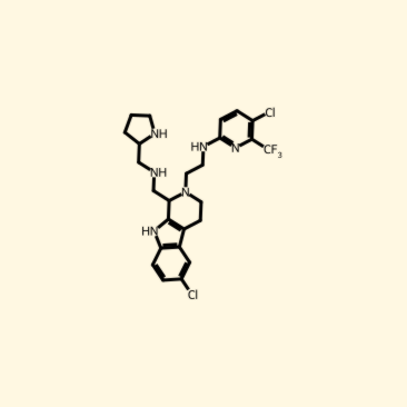 FC(F)(F)c1nc(NCCN2CCc3c([nH]c4ccc(Cl)cc34)C2CNCC2CCCN2)ccc1Cl